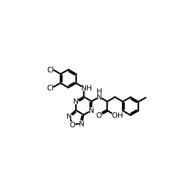 Cc1cccc(CC(Nc2nc3nonc3nc2Nc2ccc(Cl)c(Cl)c2)C(=O)O)c1